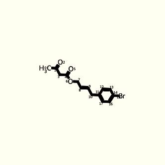 CC(=O)CC(=O)OCC=CCc1ccc(Br)cc1